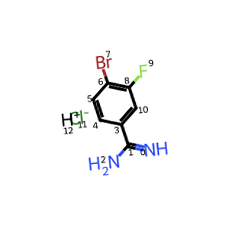 N=C(N)c1ccc(Br)c(F)c1.[Cl-].[H+]